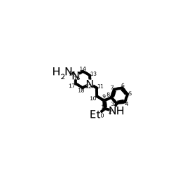 CCc1[nH]c2ccccc2c1CCN1CCN(N)CC1